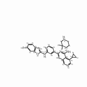 CC1(C)CNCC[C@@H]1Nc1nc(-c2ccnc(Nc3nc4ccc(F)cc4o3)c2)nc2cncc(C3CC3)c12